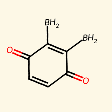 BC1=C(B)C(=O)C=CC1=O